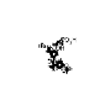 CN(C[C@@H](O)Cn1c(C(C)(C)C)cc2cc(NC(=O)C3(c4ccc5c(c4)OC(F)(F)O5)CC3)ccc21)C(=O)O